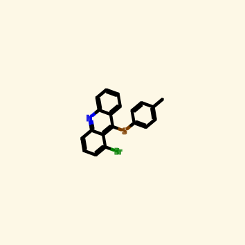 Cc1ccc(Sc2c3ccccc3nc3cccc(Br)c23)cc1